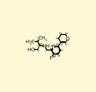 CC(C)[C@H](CO)NCc1nc(C2=COCCC2)ccc1F